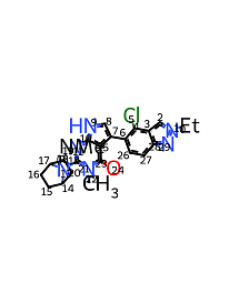 CCn1cc2c(Cl)c(-c3c[nH]c4nc(N5C6CCC5[C@H](NC)C6)n(C)c(=O)c34)ccc2n1